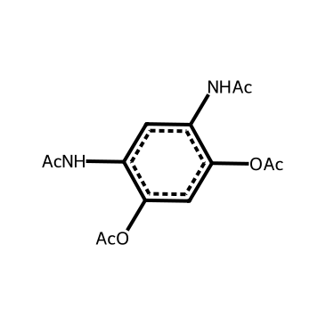 CC(=O)Nc1cc(NC(C)=O)c(OC(C)=O)cc1OC(C)=O